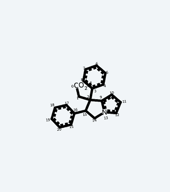 O=C(O)CC1(c2ccccc2)c2cccn2CC1c1ccccc1